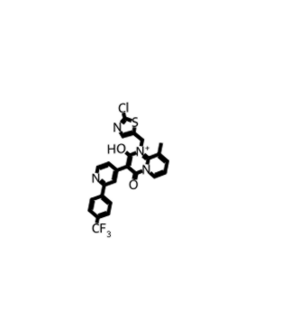 Cc1cccn2c(=O)c(-c3ccnc(-c4ccc(C(F)(F)F)cc4)c3)c(O)[n+](Cc3cnc(Cl)s3)c12